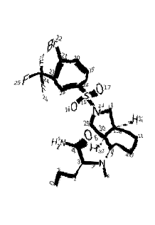 CCC[C@@H](C(N)=O)N(C)[C@H]1CC[C@@H]2CN(S(=O)(=O)c3ccc(Br)c(C(F)(F)F)c3)C[C@@H]21